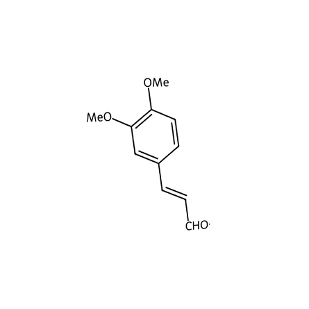 COc1ccc(/C=C/[C]=O)cc1OC